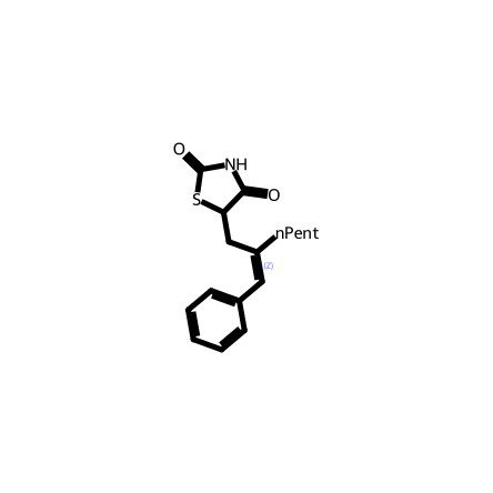 CCCCC/C(=C/c1ccccc1)CC1SC(=O)NC1=O